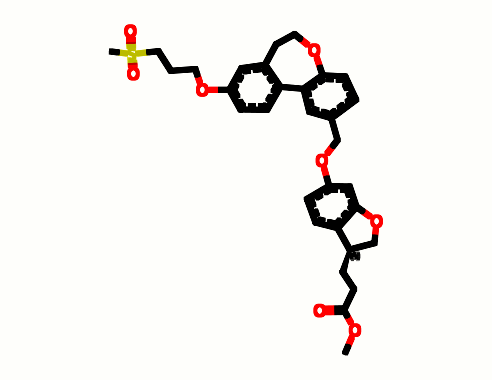 COC(=O)CC[C@@H]1COc2cc(OCc3ccc4c(c3)-c3ccc(OCCCS(C)(=O)=O)cc3CCO4)ccc21